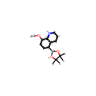 CC(C)Oc1ccc(B2OC(C)(C)C(C)(C)O2)c2cccnc12